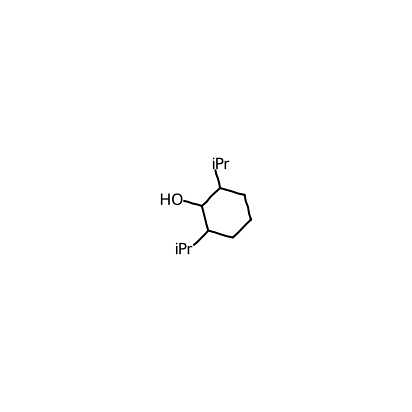 CC(C)C1CCCC(C(C)C)C1O